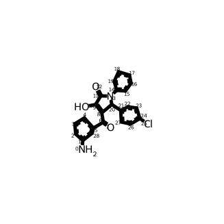 Nc1cccc(C(=O)C2=C(O)C(=O)N(c3ccccc3)C2c2ccc(Cl)cc2)c1